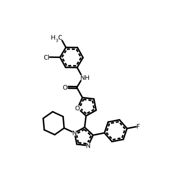 Cc1ccc(NC(=O)c2ccc(-c3c(-c4ccc(F)cc4)ncn3C3CCCCC3)o2)cc1Cl